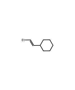 CC/C=C/C1C[CH]CCC1